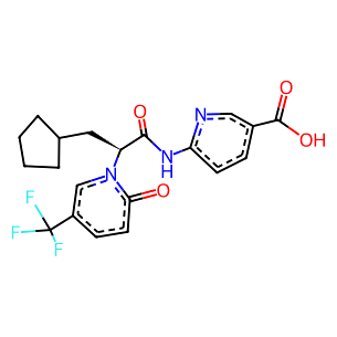 O=C(O)c1ccc(NC(=O)[C@H](CC2CCCC2)n2cc(C(F)(F)F)ccc2=O)nc1